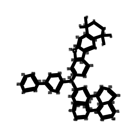 CC1(C)CCC(C)(C)c2cc3c(cc21)oc1cc(N(c2ccc(-c4ccccc4)cc2)c2cccc(-c4cccc5cccc(-c6ccccc6)c45)c2)ccc13